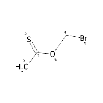 CC(=S)OCBr